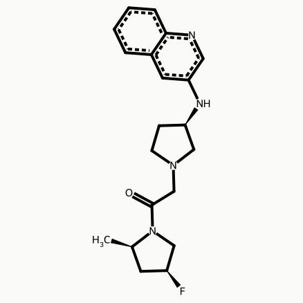 C[C@@H]1C[C@H](F)CN1C(=O)CN1CC[C@@H](Nc2cnc3ccccc3c2)C1